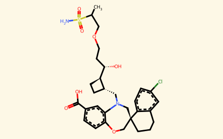 CC(COCC[C@H](O)[C@@H]1CC[C@H]1CN1C[C@@]2(CCCc3cc(Cl)ccc32)COc2ccc(C(=O)O)cc21)S(N)(=O)=O